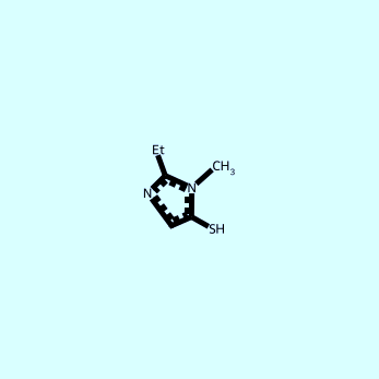 CCc1ncc(S)n1C